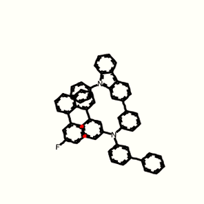 Fc1cccc(-c2cccc3cccc(-c4cccc(N(c5cccc(-c6ccccc6)c5)c5cccc(-c6ccc7c8ccccc8n(-c8ccccc8)c7c6)c5)c4)c23)c1